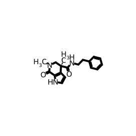 CN1C[C@@](C)(C(=O)NCCc2ccccc2)c2cc[nH]c2C1=O